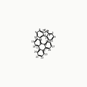 c1ccc2c(c1)[se]c1ccccc12.c1ccc2c(c1)c1ccccc1c1ccccc21